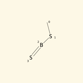 CSB=S